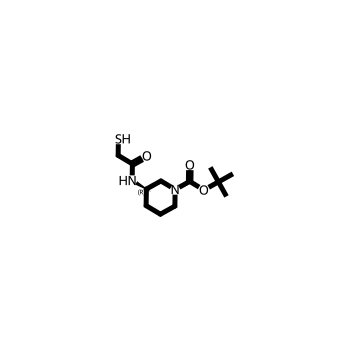 CC(C)(C)OC(=O)N1CCC[C@@H](NC(=O)CS)C1